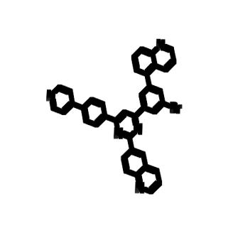 Brc1cc(-c2cc(-c3ccc(-c4ccncc4)cc3)nc(-c3ccc4ncccc4c3)n2)cc(-c2cccc3ncccc23)c1